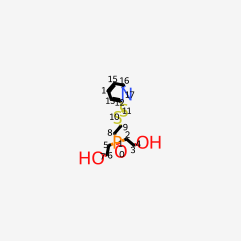 O=P(CCO)(CCO)CCSSc1ccccn1